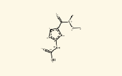 CON(C)C(=O)c1csc(NC(=O)O)n1